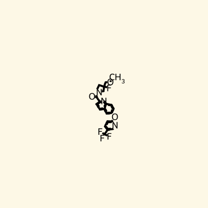 COCC1(F)CCN(C(=O)c2ccc3cc(Oc4ccc(C(F)(F)F)cn4)ccc3n2)C1